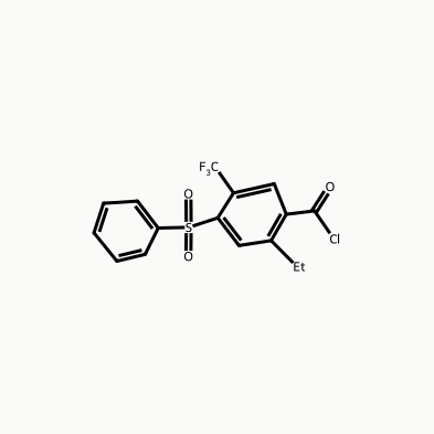 CCc1cc(S(=O)(=O)c2ccccc2)c(C(F)(F)F)cc1C(=O)Cl